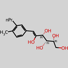 CCCc1cc(C=C(O)[C@H](O)[C@@H](O)[C@H](O)CO)ccc1C